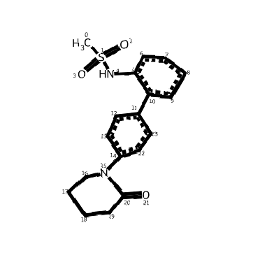 CS(=O)(=O)Nc1ccccc1-c1ccc(N2CCCCC2=O)cc1